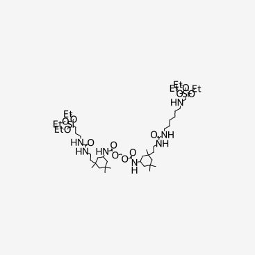 CCO[Si](CCCNC(=O)NCCC1(C)CC(NC(=O)OCOC(=O)NC2CC(C)(C)CC(C)(CCNC(=O)NCCCCCCNC[Si](OCC)(OCC)OCC)C2)CC(C)(C)C1)(OCC)OCC